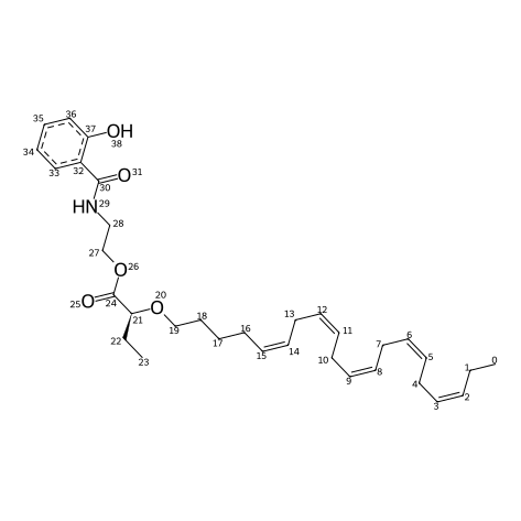 CC/C=C\C/C=C\C/C=C\C/C=C\C/C=C\CCCCO[C@@H](CC)C(=O)OCCNC(=O)c1ccccc1O